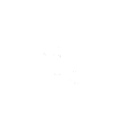 BOC(=O)C(CCCC)[C@H]1CCN(S(=O)(=O)c2ccccc2[N+](=O)[O-])C1